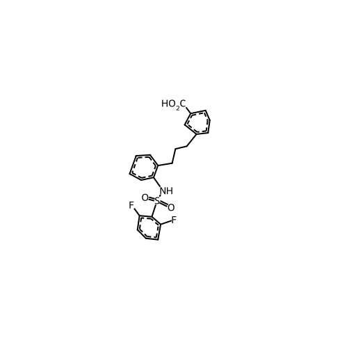 O=C(O)c1cccc(CCCc2ccccc2NS(=O)(=O)c2c(F)cccc2F)c1